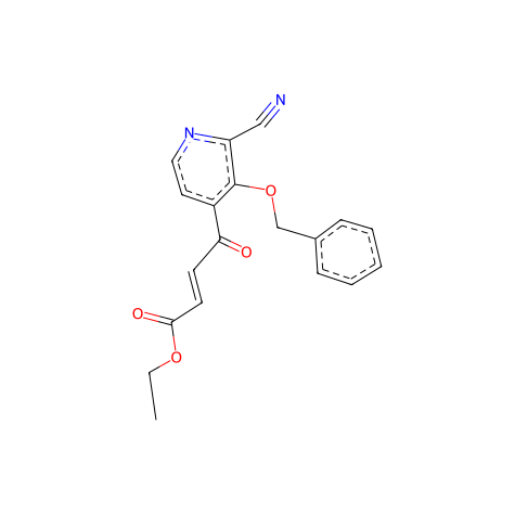 CCOC(=O)C=CC(=O)c1ccnc(C#N)c1OCc1ccccc1